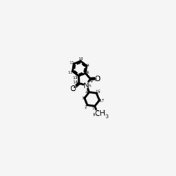 CC1CCC(N2C(=O)c3ccccc3C2=O)CC1